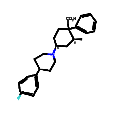 C[C@H]1C[C@@H](N2CCC(c3ccc(F)cc3)CC2)CCC1(C(=O)O)c1ccccc1